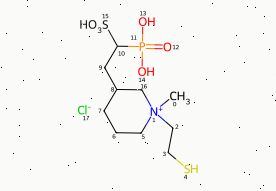 C[N+]1(CCS)CCCC(CC(P(=O)(O)O)S(=O)(=O)O)C1.[Cl-]